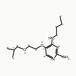 CCCCNc1nc(N)ncc1OCCOCC(C)C